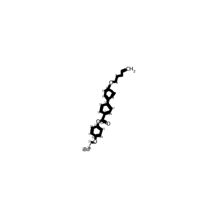 C=CCCCOc1ccc(-c2ccc(C(=O)Oc3ccc(OC[C@@H](C)CC)cc3)cc2)cc1